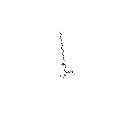 CCCCCCCCCCCCNCCC(N)N